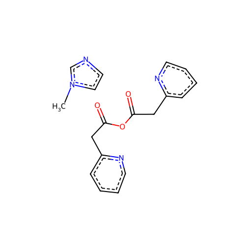 Cn1ccnc1.O=C(Cc1ccccn1)OC(=O)Cc1ccccn1